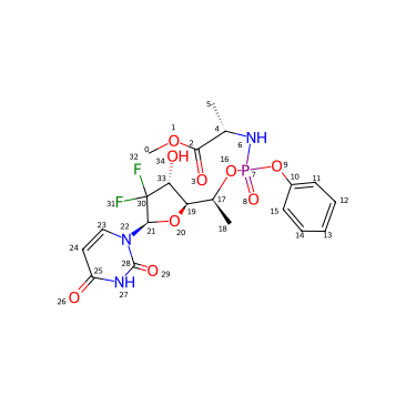 COC(=O)[C@H](C)NP(=O)(Oc1ccccc1)O[C@@H](C)[C@H]1O[C@@H](n2ccc(=O)[nH]c2=O)C(F)(F)[C@@H]1O